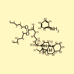 CCCCCOC(OCCCCC)C(C)CCC[C@@H](C)[C@H]1CC[C@H]2[C@@H]3CCC4CCCC[C@]4(C)[C@H]3CC[C@]12C.Nc1ccccc1